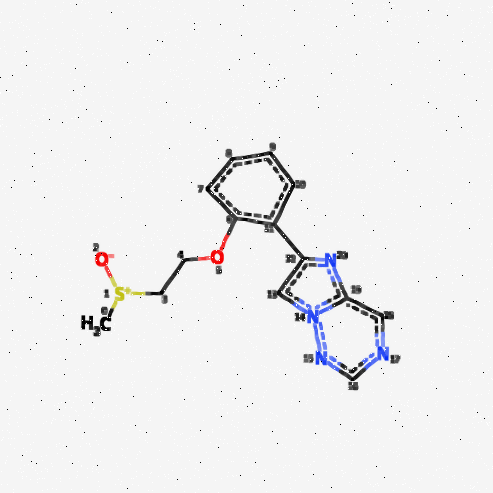 C[S+]([O-])CCOc1ccccc1-c1cn2ncncc2n1